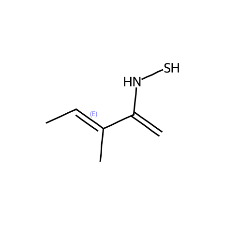 C=C(NS)/C(C)=C/C